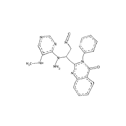 CNc1cncnc1N(N)C(CN=O)c1nc2ccccc2c(=O)n1-c1ccccc1